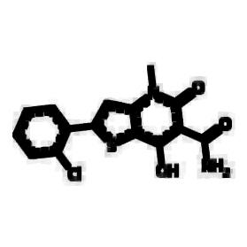 Cn1c(=O)c(C(N)=O)c(O)c2sc(-c3ccccc3Cl)cc21